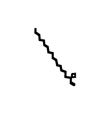 C=CC(Cl)CCCCCCCCCCCCCCCC